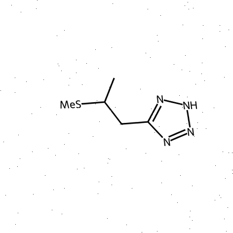 CSC(C)Cc1nn[nH]n1